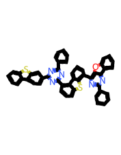 c1ccc(-c2nc(-c3ccc4c(c3)sc3ccccc34)nc(-c3cccc4sc5c(-c6nc(-c7ccccc7)nc7c6oc6ccccc67)cccc5c34)n2)cc1